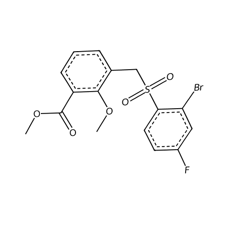 COC(=O)c1cccc(CS(=O)(=O)c2ccc(F)cc2Br)c1OC